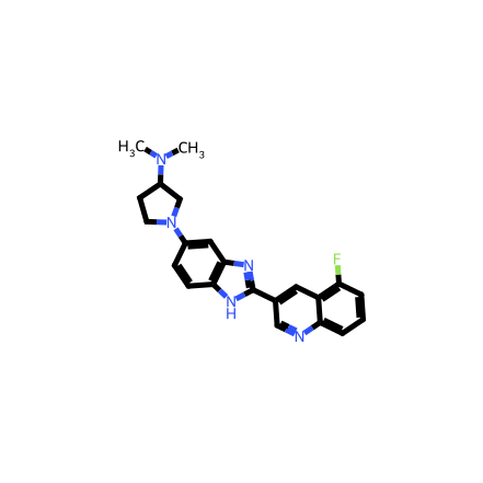 CN(C)C1CCN(c2ccc3[nH]c(-c4cnc5cccc(F)c5c4)nc3c2)C1